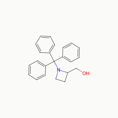 OCC1CCN1C(c1ccccc1)(c1ccccc1)c1ccccc1